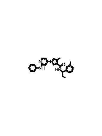 CC[C@@H](NC(=O)c1cn(-c2ccnc(Nc3ccccc3)c2)cc1C)c1cccc(C)c1